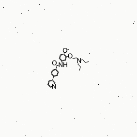 CCCN(CCC)CCOc1cc(NC(=O)c2ccc(-c3cccnc3)cc2)ccc1OC